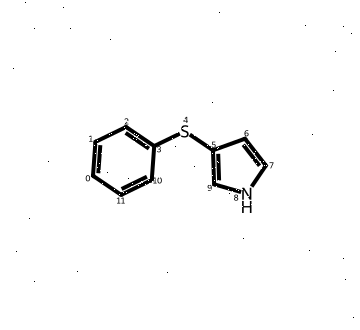 c1ccc(Sc2cc[nH]c2)cc1